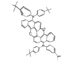 C=C(C)c1ccc(N(c2ccc(C(C)(C)C)cc2)c2c3ccccc3c3oc4ccc5c(N(c6ccc(C(C)(C)C)cc6)c6ccc(C(C)(C)C)cc6)c6ccccc6c6oc7ccc2c3c7-c4c56)cc1